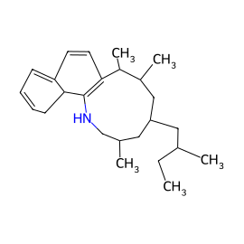 CCC(C)CC1CC(C)CNC2=C(C=CC3=CC=CCC32)C(C)C(C)C1